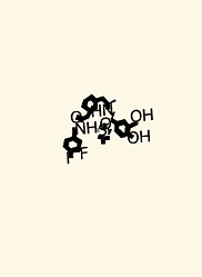 C[C@H](Cc1cccc(CC(=O)NCc2ccc(F)c(F)c2)c1)NC[C@H](O[Si](C)(C)C(C)(C)C)c1ccc(O)c(CO)c1